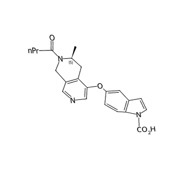 CCCC(=O)N1Cc2cncc(Oc3ccc4c(ccn4C(=O)O)c3)c2C[C@@H]1C